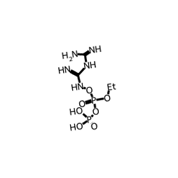 CCOP(=O)(ONC(=N)NC(=N)N)OP(=O)(O)O